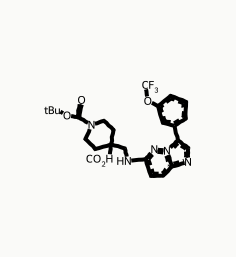 CC(C)(C)OC(=O)N1CCC(CNc2ccc3ncc(-c4cccc(OC(F)(F)F)c4)n3n2)(C(=O)O)CC1